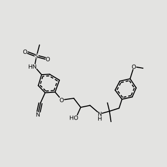 COc1ccc(CC(C)(C)NCC(O)COc2ccc(NS(C)(=O)=O)cc2C#N)cc1